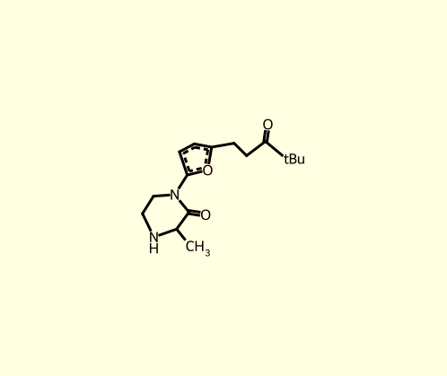 CC1NCCN(c2ccc(CCC(=O)C(C)(C)C)o2)C1=O